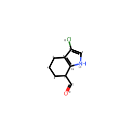 O=CC1CCCc2c(Cl)c[nH]c21